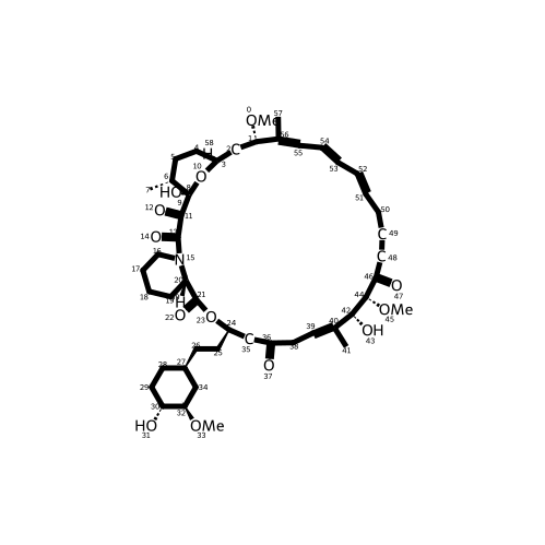 CO[C@H]1C[C@@H]2CC[C@@H](C)[C@@](O)(O2)C(=O)C(=O)N2CCCC[C@H]2C(=O)O[C@H](CC[C@@H]2CC[C@@H](O)[C@H](OC)C2)CC(=O)C/C=C(\C)[C@@H](O)[C@@H](OC)C(=O)CCC/C=C/C=C/C=C/1C